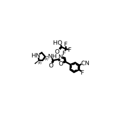 C[C@@H]1C[C@@H](NC(=O)c2ncc(-c3ccc(F)c(C#N)c3)o2)CN1.O=C(O)C(F)(F)F